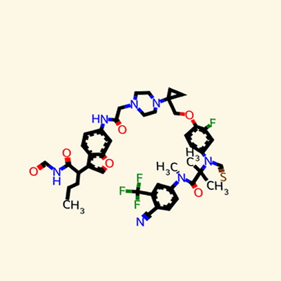 CCCC(C(=O)NC=O)c1coc2cc(NC(=O)CN3CCN(C4(COc5ccc(N(C=S)C(C)(C)C(=O)N(C)c6ccc(C#N)c(C(F)(F)F)c6)cc5F)CC4)CC3)ccc12